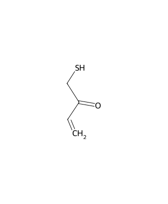 C=CC(=O)CS